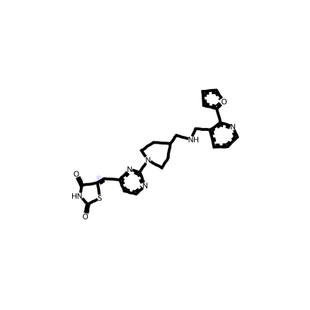 O=C1NC(=O)/C(=C/c2ccnc(N3CCC(CNCc4cccnc4-c4ccco4)CC3)n2)S1